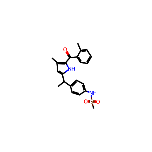 Cc1ccccc1C(=O)c1[nH]c(C(C)c2ccc(NS(C)(=O)=O)cc2)cc1C